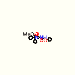 COC(=O)C(c1ccccc1)(c1ccccc1)N1CC(NC(=O)COc2ccccc2)C1=O